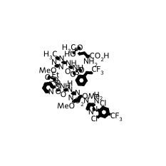 CCS(=O)(=O)c1cccnc1S(=O)(=O)NC(=O)Nc1nc(OC)cc(OC)n1.COc1nc(C)nc(NC(=O)NS(=O)(=O)c2ccccc2CCC(F)(F)F)n1.CP(=O)(O)CCC(N)C(=O)O.Nc1c([N+](=O)[O-])cnn1-c1c(Cl)cc(C(F)(F)F)cc1Cl